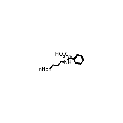 CCCCCCCCCCCCN[C@H](C(=O)O)c1ccccc1